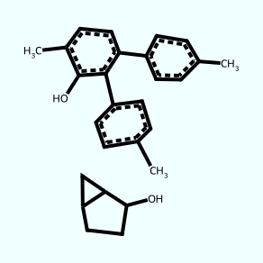 Cc1ccc(-c2ccc(C)c(O)c2-c2ccc(C)cc2)cc1.OC1CCC2CC12